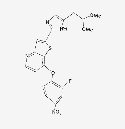 COC(Cc1cnc(-c2cc3nccc(Oc4ccc([N+](=O)[O-])cc4F)c3s2)[nH]1)OC